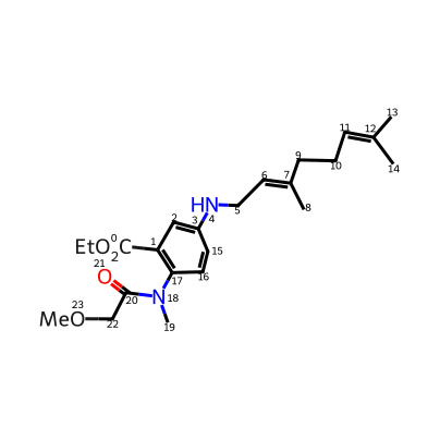 CCOC(=O)c1cc(NC/C=C(\C)CCC=C(C)C)ccc1N(C)C(=O)COC